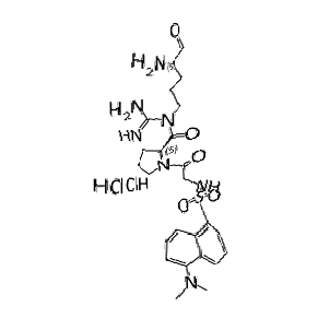 CN(C)c1cccc2c(S(=O)(=O)NCC(=O)N3CCC[C@H]3C(=O)N(CCC[C@H](N)C=O)C(=N)N)cccc12.Cl.Cl